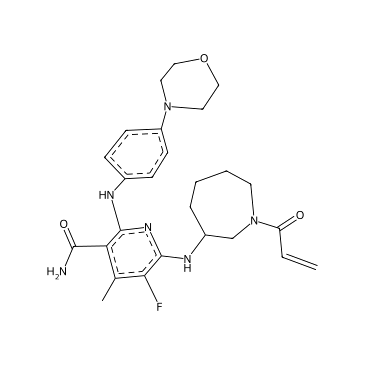 C=CC(=O)N1CCCCC(Nc2nc(Nc3ccc(N4CCOCC4)cc3)c(C(N)=O)c(C)c2F)C1